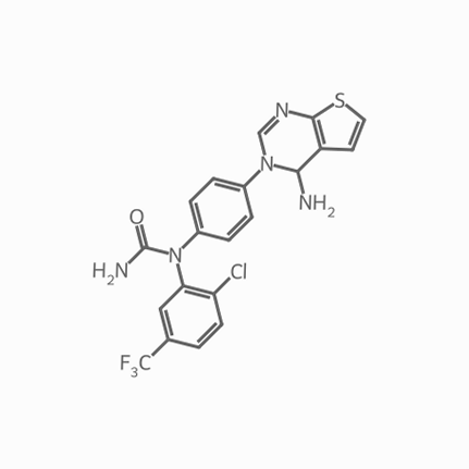 NC(=O)N(c1ccc(N2C=Nc3sccc3C2N)cc1)c1cc(C(F)(F)F)ccc1Cl